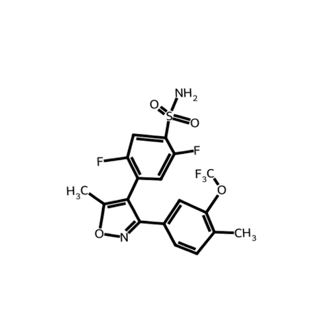 Cc1ccc(-c2noc(C)c2-c2cc(F)c(S(N)(=O)=O)cc2F)cc1OC(F)(F)F